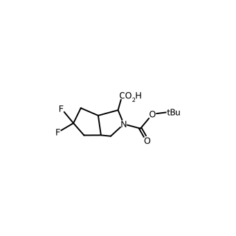 CC(C)(C)OC(=O)N1CC2CC(F)(F)CC2C1C(=O)O